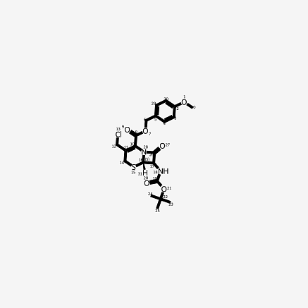 COc1ccc(COC(=O)C2=C(CCl)CS[C@H]3C(NC(=O)OC(C)(C)C)C(=O)N23)cc1